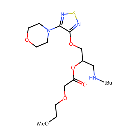 COCCOCC(=O)OC(CNC(C)(C)C)COc1nsnc1N1CCOCC1